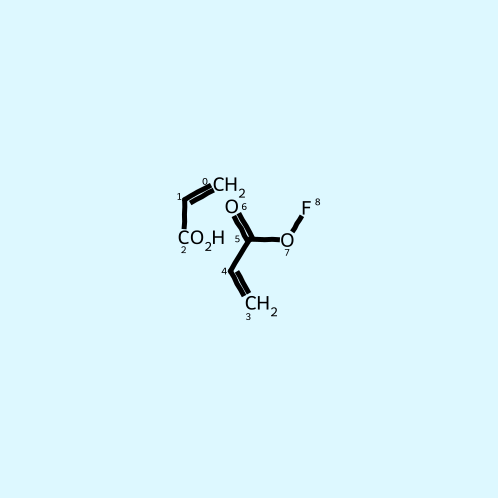 C=CC(=O)O.C=CC(=O)OF